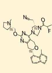 Cc1cccc2cccc([C@@H]3Cc4nc(OC[C@@H]5CCCN5C)nc(N5CCN(C(=O)C(C)F)[C@@H](CC#N)C5)c4CO3)c12